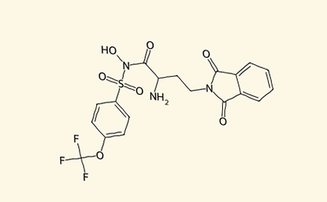 NC(CCN1C(=O)c2ccccc2C1=O)C(=O)N(O)S(=O)(=O)c1ccc(OC(F)(F)F)cc1